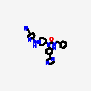 N#Cc1ccc(NN2CCCC(N(C(=O)NCc3ccccc3)c3ccc(-c4cnccn4)cc3)CC2)nc1